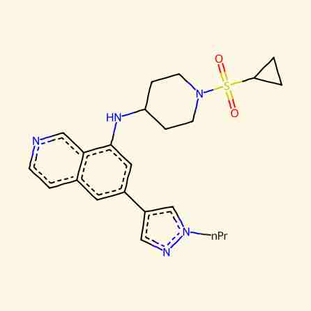 CCCn1cc(-c2cc(NC3CCN(S(=O)(=O)C4CC4)CC3)c3cnccc3c2)cn1